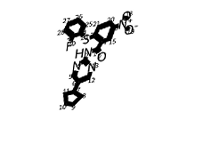 O=C(Nc1ncc(C2CCCC2)cn1)c1cc([N+](=O)[O-])ccc1Sc1ccccc1F